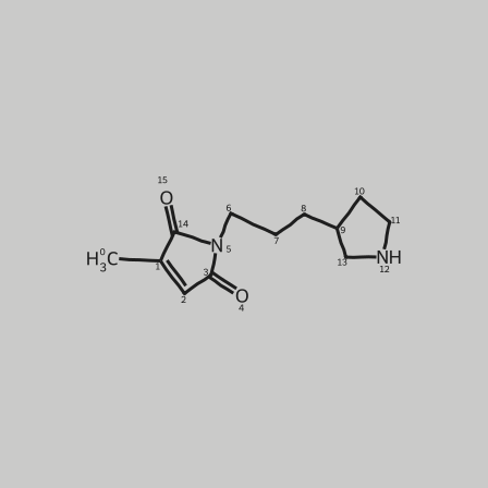 CC1=CC(=O)N(CCCC2CCNC2)C1=O